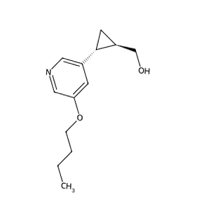 CCCCOc1cncc([C@@H]2C[C@H]2CO)c1